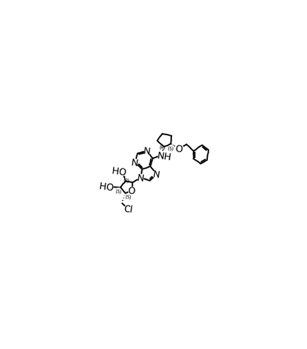 O[C@@H]1[C@@H](CCl)OC(n2cnc3c(N[C@@H]4CCC[C@@H]4OCc4ccccc4)ncnc32)[C@@H]1O